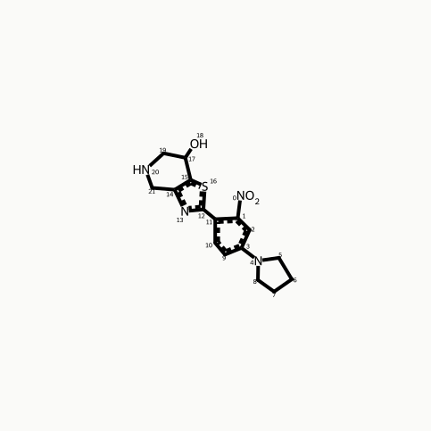 O=[N+]([O-])c1cc(N2CCCC2)ccc1-c1nc2c(s1)C(O)CNC2